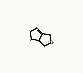 C1C[C]2CNCC2=N1